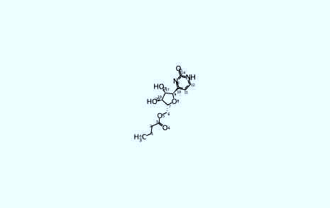 CCCC(=O)OC[C@H]1O[C@H](c2cc[nH]c(=O)n2)[C@H](O)[C@@H]1O